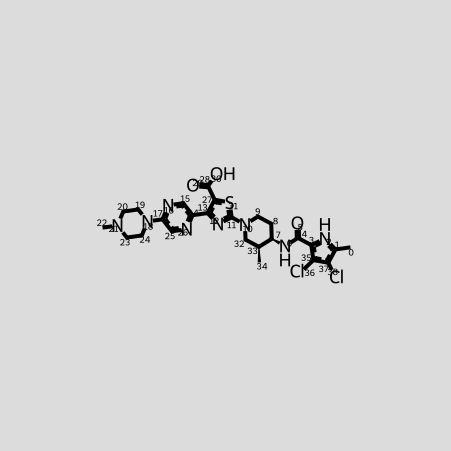 Cc1[nH]c(C(=O)N[C@@H]2CCN(c3nc(-c4cnc(N5CCN(C)CC5)cn4)c(C(=O)O)s3)C[C@@H]2C)c(Cl)c1Cl